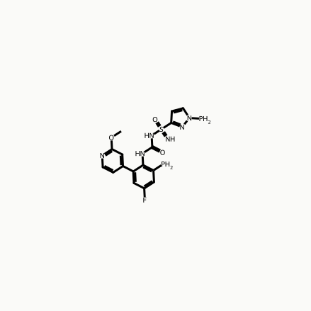 COc1cc(-c2cc(F)cc(P)c2NC(=O)NS(=N)(=O)c2ccn(P)n2)ccn1